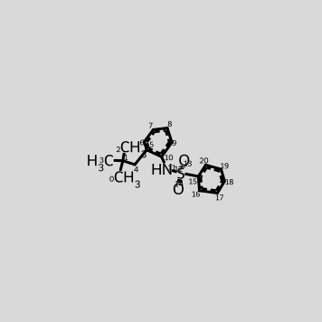 CC(C)(C)Cc1ccccc1NS(=O)(=O)c1ccccc1